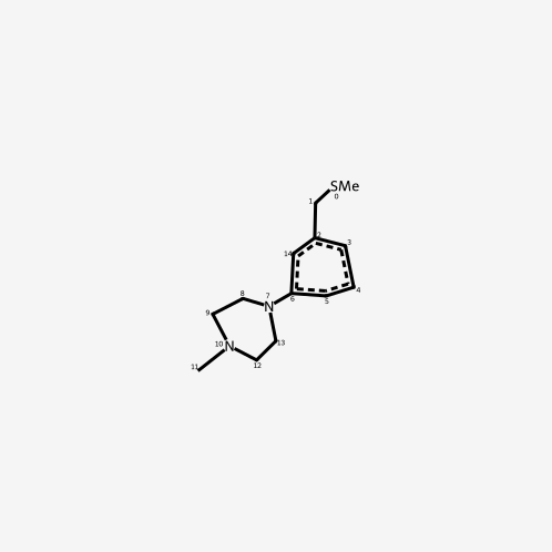 CSCc1cccc(N2CCN(C)CC2)c1